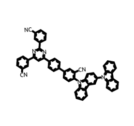 N#Cc1cccc(-c2cc(-c3ccc(-c4ccc(-n5c6ccccc6c6cc(-n7c8ccccc8c8ccccc87)ccc65)c(C#N)c4)cc3)nc(-c3cccc(C#N)c3)n2)c1